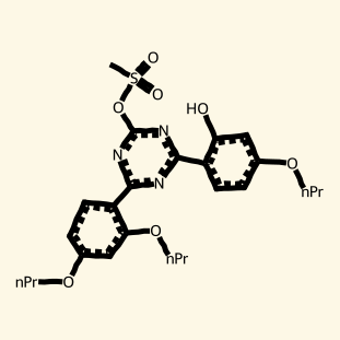 CCCOc1ccc(-c2nc(OS(C)(=O)=O)nc(-c3ccc(OCCC)cc3OCCC)n2)c(O)c1